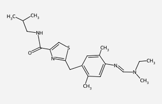 CCN(C)C=Nc1cc(C)c(Cc2nc(C(=O)NCC(C)C)cs2)cc1C